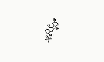 CCN(C)S(=O)(=O)Nc1ccc(F)c(C(=O)c2c[nH]c3ncc(Br)cc23)c1F